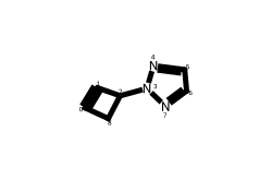 C1#CC(n2nccn2)C1